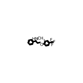 CNC(CCOc1ccc(C(F)(F)F)cc1)c1c[c]ccc1